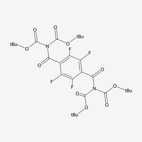 CC(C)(C)OC(=O)N(C(=O)OC(C)(C)C)C(=O)c1c(F)c(F)c(C(=O)N(C(=O)OC(C)(C)C)C(=O)OC(C)(C)C)c(F)c1F